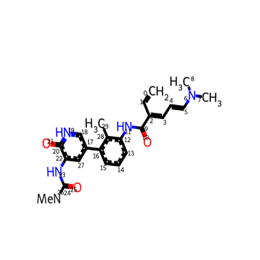 C=C/C(=C\C=C\N(C)C)C(=O)Nc1cccc(-c2c[nH]c(=O)c(NC(=O)NC)c2)c1C